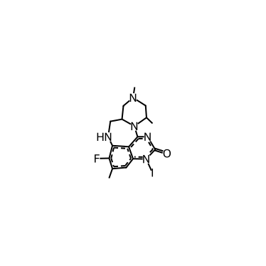 Cc1cc2c3c(nc(=O)n2I)N2C(C)CN(C)CC2CNc3c1F